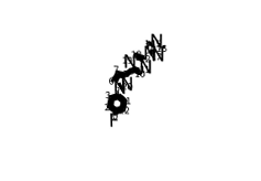 Fc1ccc(-n2ccc(-c3cnc(-n4cncn4)cn3)n2)cc1